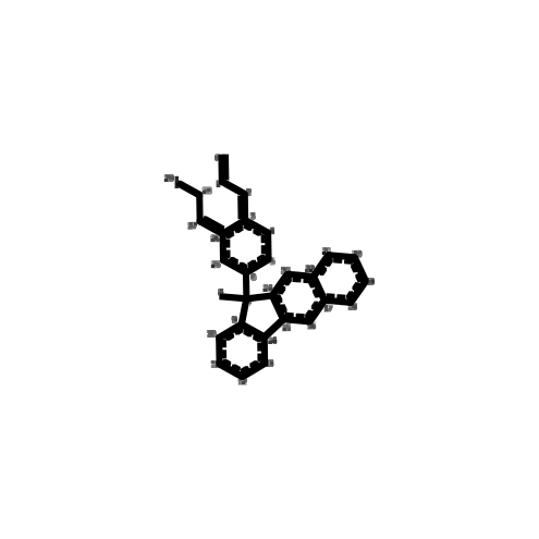 C=C/C=c1/ccc(C2(C)c3ccccc3-c3cc4ccccc4cc32)c/c1=C/CI